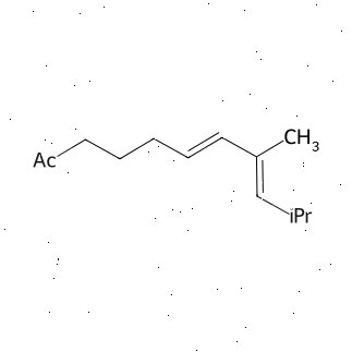 CC(=O)CCCC=CC(C)=CC(C)C